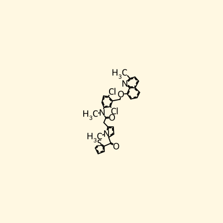 Cc1ccc2cccc(OCc3c(Cl)ccc(N(C)C(=O)Cc4ccc(C(=O)c5cccs5)n4C)c3Cl)c2n1